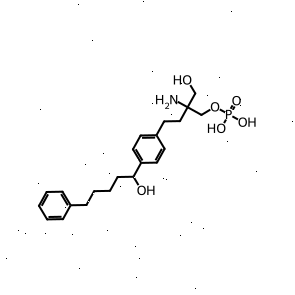 NC(CO)(CCc1ccc(C(O)CCCCc2ccccc2)cc1)COP(=O)(O)O